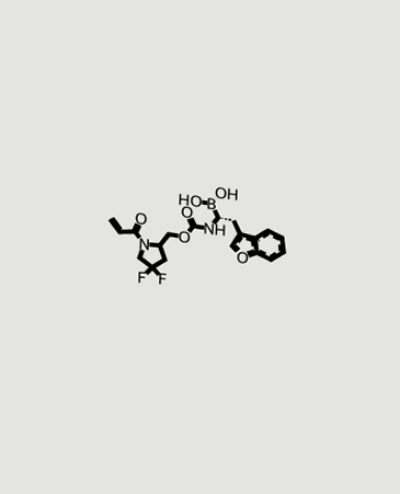 C=CC(=O)N1CC(F)(F)CC1COC(=O)N[C@@H](Cc1coc2ccccc12)B(O)O